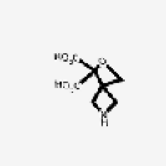 O=C(O)C1(C(=O)O)OCC12CNC2